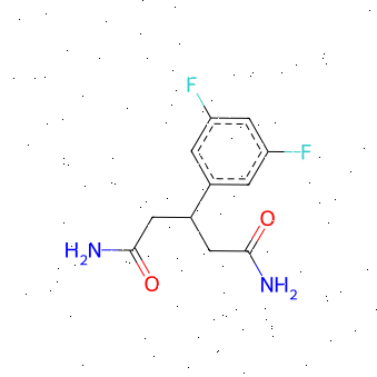 NC(=O)CC(CC(N)=O)c1cc(F)cc(F)c1